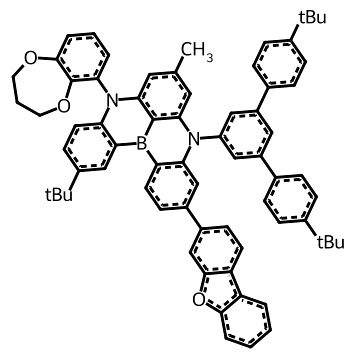 Cc1cc2c3c(c1)N(c1cccc4c1OCCCO4)c1ccc(C(C)(C)C)cc1B3c1ccc(-c3ccc4c(c3)oc3ccccc34)cc1N2c1cc(-c2ccc(C(C)(C)C)cc2)cc(-c2ccc(C(C)(C)C)cc2)c1